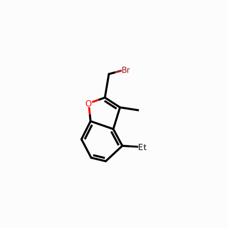 CCc1cccc2oc(CBr)c(C)c12